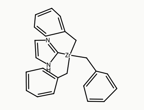 c1ccc([CH2][Zr]([CH2]c2ccccc2)([CH2]c2ccccc2)[c]2ncc[nH]2)cc1